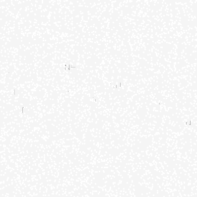 O=C(CC(=O)Nc1ccc(Cl)c(C(F)(F)F)c1)Nc1cccc(Oc2cccnc2)c1